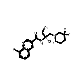 CC(C)C[C@@](C)(CN1CCCC(F)(F)C1)NC(=O)c1cnc2c(F)cccc2c1